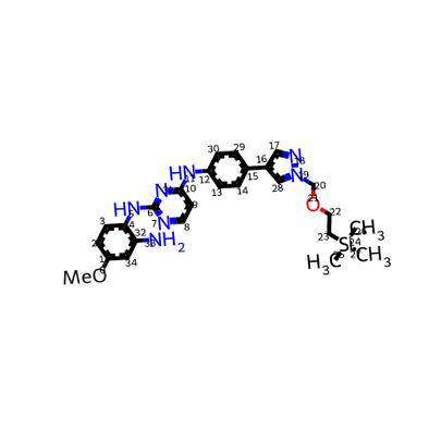 COc1ccc(Nc2nccc(Nc3ccc(-c4cnn(COCC[Si](C)(C)C)c4)cc3)n2)c(N)c1